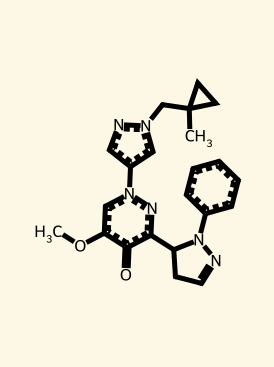 COc1cn(-c2cnn(CC3(C)CC3)c2)nc(C2CC=NN2c2ccccc2)c1=O